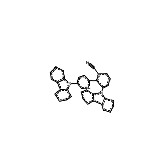 N#Cc1cccc(-n2c3ccccc3c3ccccc32)c1-c1ccc(-n2c3ccccc3c3ccccc32)cn1